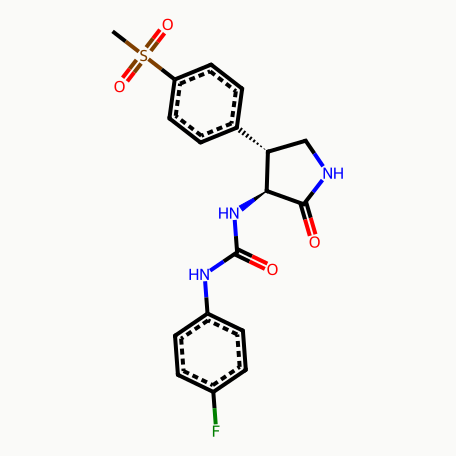 CS(=O)(=O)c1ccc([C@@H]2CNC(=O)[C@H]2NC(=O)Nc2ccc(F)cc2)cc1